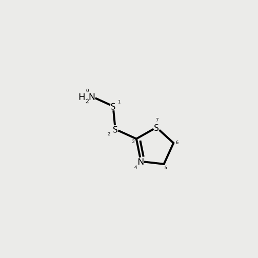 NSSC1=NCCS1